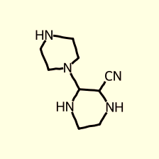 N#CC1NCCNC1N1CCNCC1